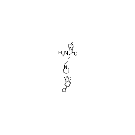 NC(CCCCN1CCC(c2nc3cc(Cl)ccc3o2)CC1)C(=O)N1CCSC1